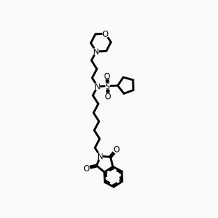 O=C1c2ccccc2C(=O)N1CCCCCCCN(CCCN1CCOCC1)S(=O)(=O)C1CCCC1